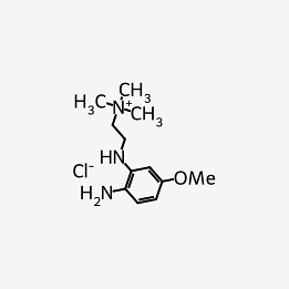 COc1ccc(N)c(NCC[N+](C)(C)C)c1.[Cl-]